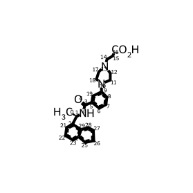 C[C@@H](NC(=O)c1cccc(N2CCN(CCC(=O)O)CC2)c1)c1cccc2ccccc12